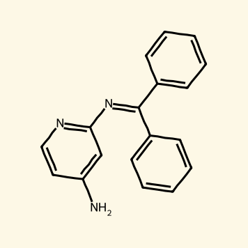 Nc1ccnc(N=C(c2ccccc2)c2ccccc2)c1